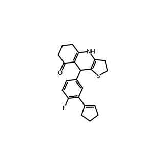 O=C1CCCC2=C1C(c1ccc(F)c(C3=CCCC3)c1)C1=C(CCS1)N2